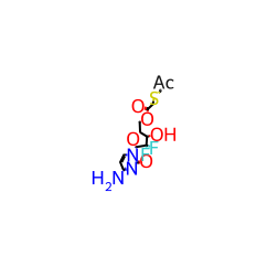 CC(=O)CSCC(=O)OCC1OC(n2ccc(N)nc2=O)C(F)(F)C1O